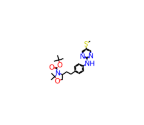 CSc1cnc(Nc2ccc(CCC3COC(C)(C)N3C(=O)OC(C)(C)C)cc2)nc1